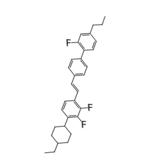 CCCc1ccc(-c2ccc(/C=C/c3ccc(C4CCC(CC)CC4)c(F)c3F)cc2)c(F)c1